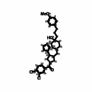 COc1ccc(CCCC2(O)CCN(CC3CN(C(=O)c4ccc(Cl)c(Cl)c4)CC3c3ccsc3)CC2)cc1